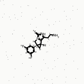 NCCc1[nH]c(=S)n2c1[C@@H]1C[C@]1(c1cc(F)cc(F)c1)C2